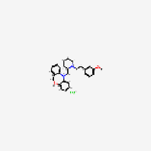 COc1cccc(CCN2CCCCC2CN2c3ccccc3COc3ccccc32)c1.Cl